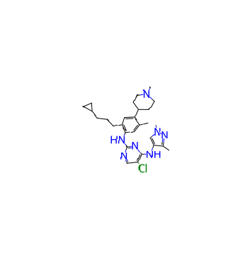 Cc1cc(Nc2ncc(Cl)c(Nc3cn(C)nc3C)n2)c(CCCC2CC2)cc1C1CCN(C)CC1